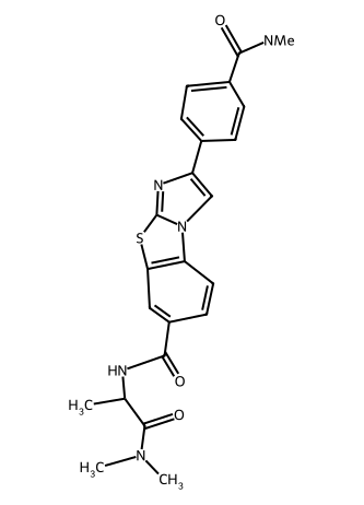 CNC(=O)c1ccc(-c2cn3c(n2)sc2cc(C(=O)NC(C)C(=O)N(C)C)ccc23)cc1